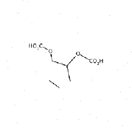 CC.CC(COC(=O)O)OC(=O)O